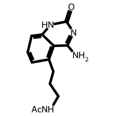 CC(=O)NCCCc1cccc2[nH]c(=O)nc(N)c12